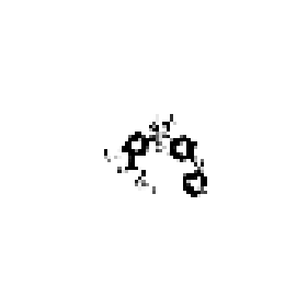 CCN(c1ccc(Oc2cccnc2)cc1)S(=O)(=O)c1ccc(C)c(C(=O)OC)c1